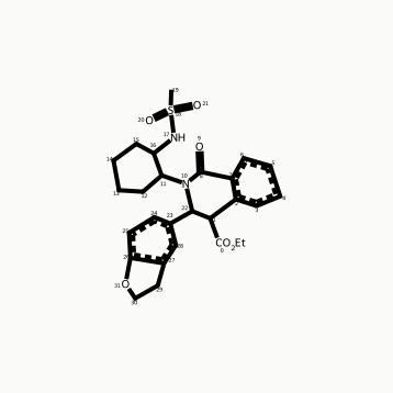 CCOC(=O)C1c2ccccc2C(=O)N(C2CCCCC2NS(C)(=O)=O)C1c1ccc2c(c1)CCO2